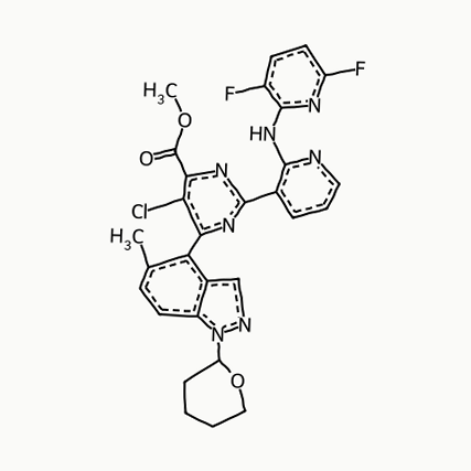 COC(=O)c1nc(-c2cccnc2Nc2nc(F)ccc2F)nc(-c2c(C)ccc3c2cnn3C2CCCCO2)c1Cl